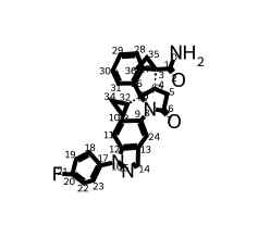 NC(=O)C1([C@@H]2CC(=O)N(c3ccc4c(cnn4-c4ccc(F)cc4)c3)[C@]2(c2ccccc2)C2CC2)CC1